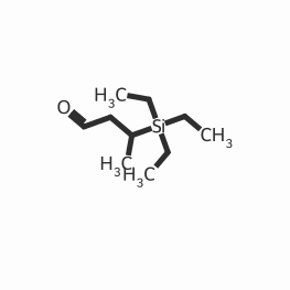 CC[Si](CC)(CC)C(C)CC=O